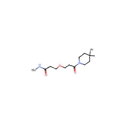 CC(C)C1(C)CCN(C(=O)CCOCCC(=O)NC(C)(C)C)CC1